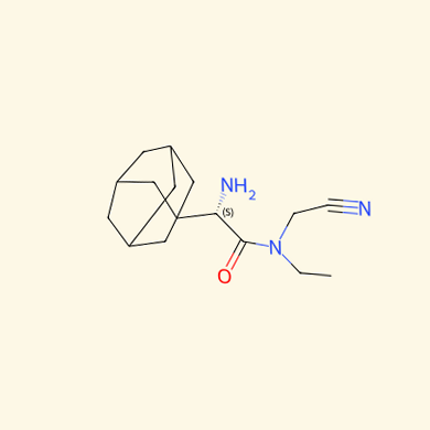 CCN(CC#N)C(=O)[C@@H](N)C12CC3CC(CC(C3)C1)C2